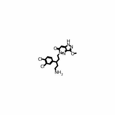 COc1n[nH]c2cc(=O)n(CCC(CCN)c3ccc(Cl)c(Cl)c3)nc12